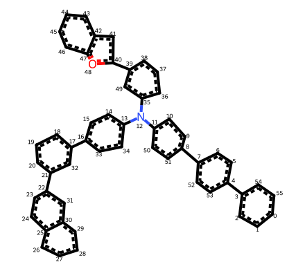 c1ccc(-c2ccc(-c3ccc(N(c4ccc(-c5cccc(-c6ccc7ccccc7c6)c5)cc4)c4cccc(-c5cc6ccccc6o5)c4)cc3)cc2)cc1